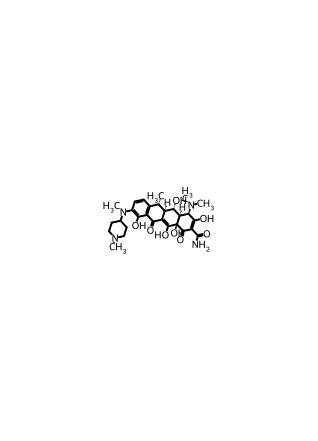 C[C@H]1c2ccc(N(C)C3CCN(C)CC3)c(O)c2C(=O)C2=C(O)[C@@]3(O)C(=O)C(C(N)=O)=C(O)[C@H](N(C)C)[C@@H]3[C@@H](O)[C@@H]21